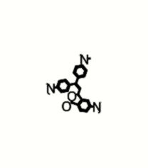 CN(C)c1ccc(C(=CC2OC(=O)c3ccc(N(C)C)cc32)c2ccc(N(C)C)cc2)cc1